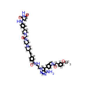 Nc1ncnc2c1c(-c1ccc3c(c1)CCN3C(=O)Cc1cccc(OC(F)(F)F)c1)cn2CCCNC(=O)c1ccc(C#CC2CCN(C3CCN(C(=O)CN4CCC(c5ccc(NC6CCC(=O)NC6=O)cc5)CC4)CC3)CC2)cc1